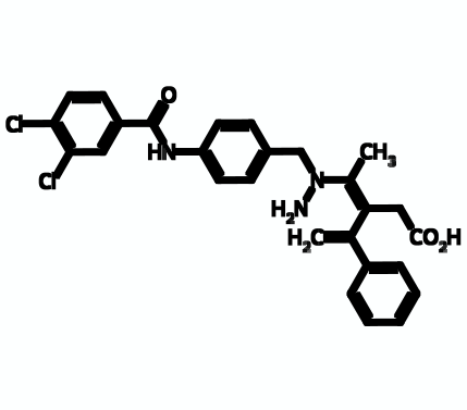 C=C(/C(CC(=O)O)=C(/C)N(N)Cc1ccc(NC(=O)c2ccc(Cl)c(Cl)c2)cc1)c1ccccc1